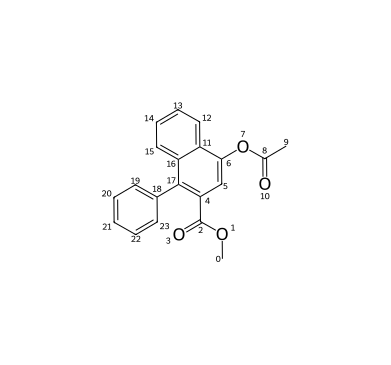 COC(=O)c1cc(OC(C)=O)c2ccccc2c1-c1ccccc1